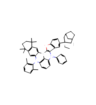 CC[C@@]1(c2ccc3oc4c(c3c2)N(c2ccccc2)c2cccc3c2B4c2cc4c(cc2N3c2c(C)cccc2C)C(C)(C)CCC4(C)C)CC2CC[C@H](C2)C1